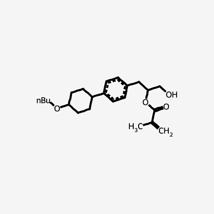 C=C(C)C(=O)OC(CO)Cc1ccc(C2CCC(OCCCC)CC2)cc1